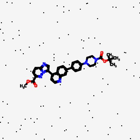 COC(=O)c1ccc2ncc(-c3ccnc4cc(-c5ccc(N6CCN(C(=O)OC(C)(C)C)CC6)cc5)ccc34)n2n1